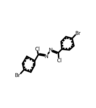 ClC(=NN=C(Cl)c1ccc(Br)cc1)c1ccc(Br)cc1